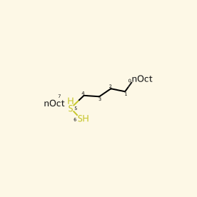 CCCCCCCCCCCC[SH](S)CCCCCCCC